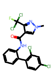 Cn1cc(C(=O)Nc2ccccc2-c2ccc(Cl)cc2Cl)c(C(F)(Cl)Cl)n1